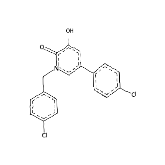 O=c1c(O)cc(-c2ccc(Cl)cc2)cn1Cc1ccc(Cl)cc1